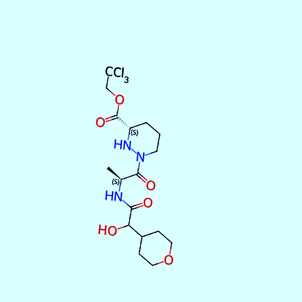 C[C@H](NC(=O)C(O)C1CCOCC1)C(=O)N1CCC[C@@H](C(=O)OCC(Cl)(Cl)Cl)N1